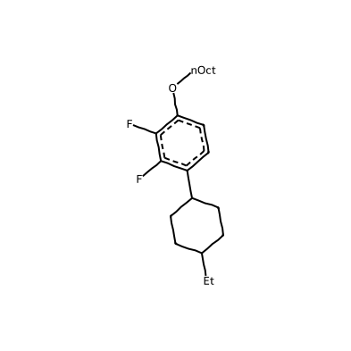 CCCCCCCCOc1ccc(C2CCC(CC)CC2)c(F)c1F